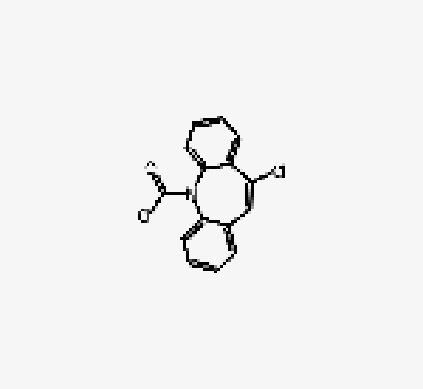 O=C(Cl)N1c2ccccc2C=C(Cl)c2ccccc21